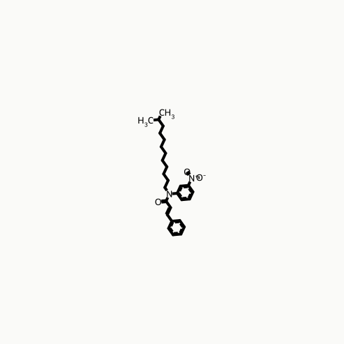 CC(C)CCCCCCCCCCN(C(=O)C=Cc1ccccc1)c1cccc([N+](=O)[O-])c1